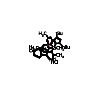 Cl.Cl.[CH2]=[Zr]([C]1=CC(C(C)(C)C)=CC1CCCC)([c]1ccc(C)cc1)([c]1ccc(C)cc1)[c]1c(C)ccc2c1Cc1cc(C)ccc1-2